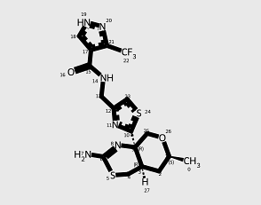 C[C@H]1C[C@H]2CSC(N)=N[C@@]2(c2nc(CNC(=O)c3c[nH]nc3C(F)(F)F)cs2)CO1